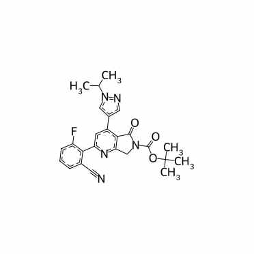 CC(C)n1cc(-c2cc(-c3c(F)cccc3C#N)nc3c2C(=O)N(C(=O)OC(C)(C)C)C3)cn1